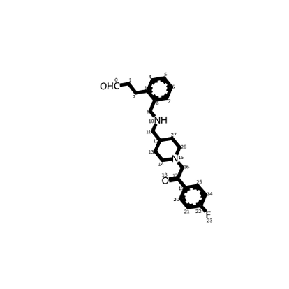 O=CCCc1ccccc1CNCC1CCN(CC(=O)c2ccc(F)cc2)CC1